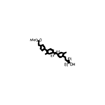 CCC(O)(CC)CCc1ccc(C(CC)(CC)c2ccc(-c3ccc(CC(=O)OC)cc3)c(C)c2)cc1C